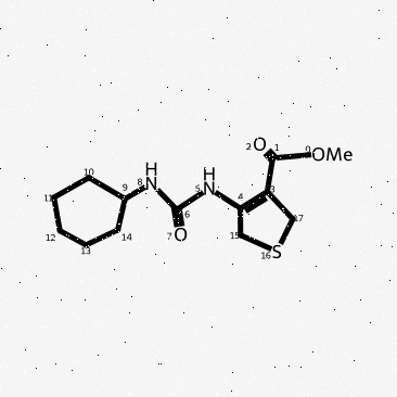 COC(=O)C1=C(NC(=O)NC2CCCCC2)CSC1